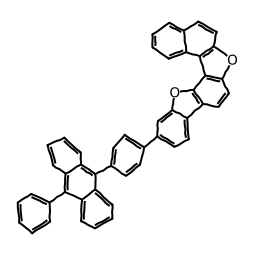 c1ccc(-c2c3ccccc3c(-c3ccc(-c4ccc5c(c4)oc4c5ccc5oc6ccc7ccccc7c6c54)cc3)c3ccccc23)cc1